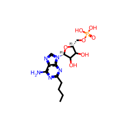 CCCCc1nc(N)c2ncn([C@@H]3O[C@H](COP(=O)(O)O)C(O)C3O)c2n1